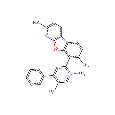 Cc1ccc2c(n1)oc1c(-c3cc(-c4ccccc4)c(C)c[n+]3C)c(C)ccc12